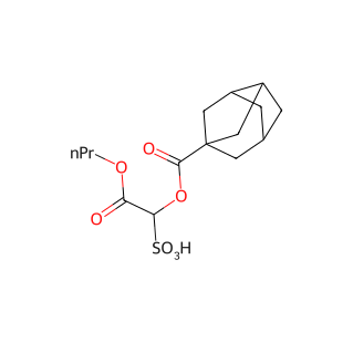 CCCOC(=O)C(OC(=O)C12CC3CC(C1)C(C3)C2)S(=O)(=O)O